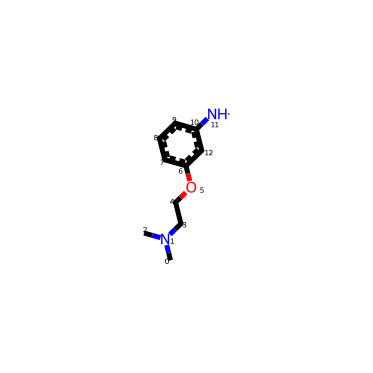 CN(C)CCOc1cccc([NH])c1